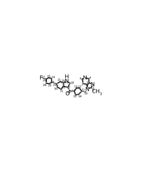 Cc1nc2cnccc2n1Cc1ccc(C(=O)c2c[nH]c3cc(-c4ccc(F)cc4)ccc23)cc1